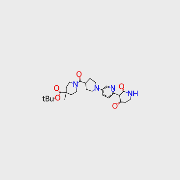 CC(C)(C)OC(=O)C1(C)CCN(C(=O)C2CCN(c3ccc(C4C(=O)CCNC4=O)nc3)CC2)CC1